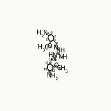 COc1cc(N)ccc1C=NNC(=N)NN=Cc1ccc(N)cc1OC